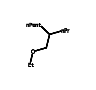 [CH2]COCC(CCC)CCCCC